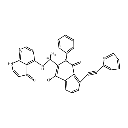 C[C@H](Nc1ncnc2[nH]ccc(=O)c12)c1c(Cl)c2cccc(C#Cc3ccccn3)c2c(=O)n1-c1ccccc1